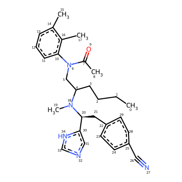 CCCCC(CN(C(C)=O)c1cccc(C)c1C)N(C)[C@@H](Cc1ccc(C#N)cc1)c1cnc[nH]1